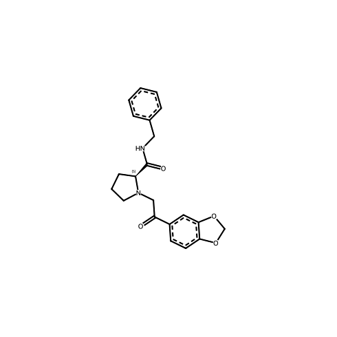 O=C(CN1CCC[C@H]1C(=O)NCc1ccccc1)c1ccc2c(c1)OCO2